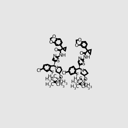 CC(C)(C)[Si](C)(C)O[C@@H]1CCN([C@H](c2cnc(NC(=O)C3(c4ccc5c(c4)OCO5)CC3)s2)c2ccc(Cl)cc2F)C1.CC(C)(C)[Si](C)(C)O[C@@H]1CCN([C@H](c2cnc(NC(=O)C3(c4ccc5c(c4)OCO5)CC3)s2)c2ccc(Cl)cc2F)C1